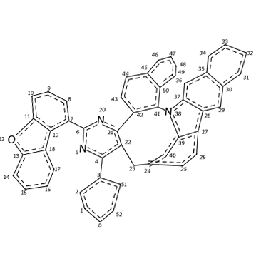 c1ccc(-c2nc(-c3cccc4oc5ccccc5c34)nc3c2Cc2ccc4c5cc6ccccc6cc5n(c4c2)-c2c-3ccc3ccccc23)cc1